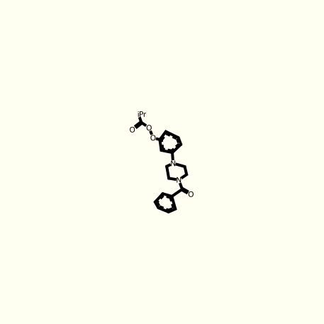 CC(C)C(=O)OOc1cccc(N2CCN(C(=O)c3ccccc3)CC2)c1